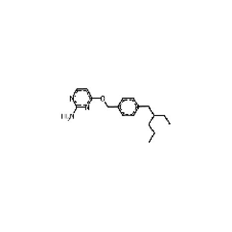 CCCC(CC)Cc1ccc(COc2ccnc(N)n2)cc1